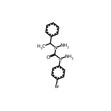 CC(c1ccccc1)N(N)C(=O)N(N)c1ccc(Br)cc1